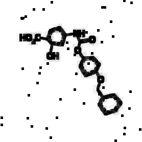 O=C(Nc1ccc(C(=O)O)c(O)c1)Oc1ccc(OCc2ccccc2)cc1